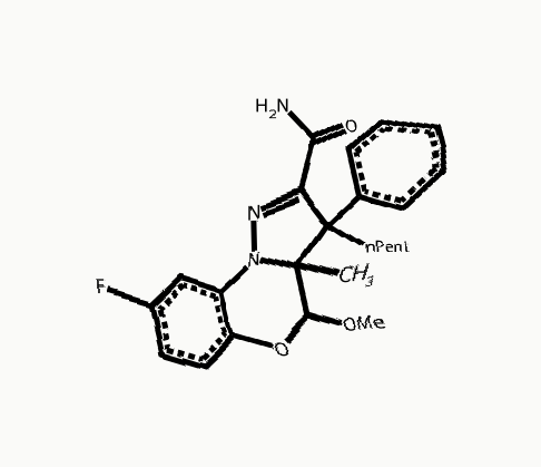 CCCCCC1(c2ccccc2)C(C(N)=O)=NN2c3cc(F)ccc3OC(OC)C21C